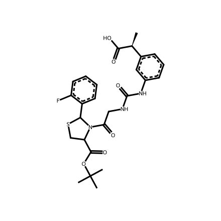 C[C@H](C(=O)O)c1cccc(NC(=O)NCC(=O)N2C(C(=O)OC(C)(C)C)CSC2c2ccccc2F)c1